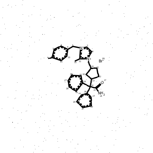 Cc1ccc(C[n+]2ccn(C3CCC(C(C(N)=O)(c4ccccc4)c4ccccc4)C3)c2C)cc1.[Br-]